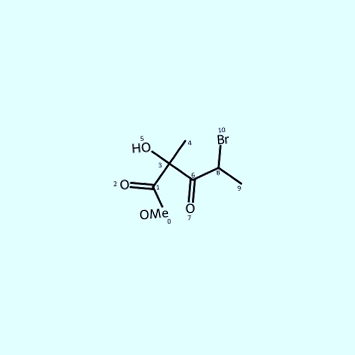 COC(=O)C(C)(O)C(=O)C(C)Br